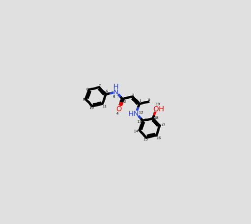 CC(=CC(=O)Nc1ccccc1)Nc1ccccc1O